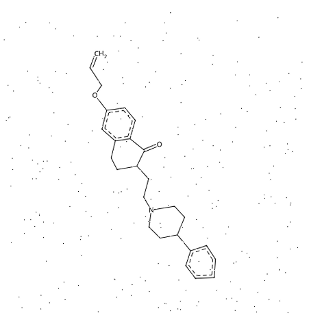 C=CCOc1ccc2c(c1)CCC(CCN1CCC(c3ccccc3)CC1)C2=O